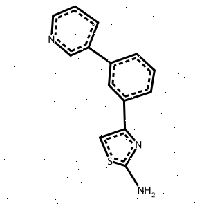 Nc1nc(-c2cccc(-c3cccnc3)c2)cs1